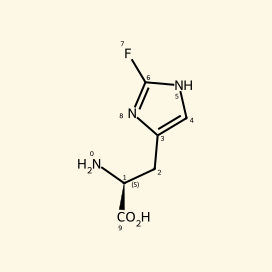 N[C@@H](Cc1c[nH]c(F)n1)C(=O)O